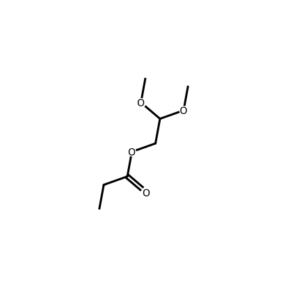 CCC(=O)OCC(OC)OC